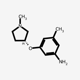 Cc1cc(N)cc(O[C@@H]2CCN(C)C2)c1